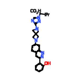 CC(C)C(C(=O)O)n1cnc(N2CC3(CN(c4ccc5cc(-c6ccccc6O)nnc5c4)C3)C2)n1